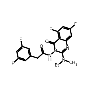 CCN(C)c1nc2cc(F)cc(F)c2c(=O)n1NC(=O)Cc1cc(F)cc(F)c1